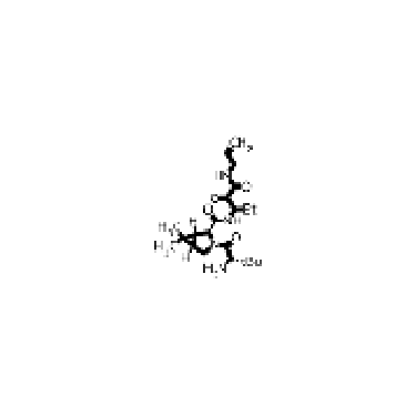 C=CCNC(=O)C(=O)C(CC)NC(=O)[C@@H]1[C@@H]2[C@H](CN1C(=O)[C@@H](N)C(C)(C)C)C2(C)C